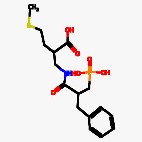 CSCCC(CNC(=O)C(Cc1ccccc1)CP(=O)(O)O)C(=O)O